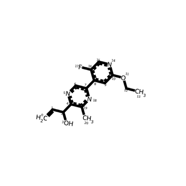 C=CC(O)c1ncc(-c2cc(OCC)ncc2F)nc1C